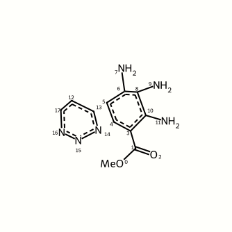 COC(=O)c1ccc(N)c(N)c1N.c1cnnnc1